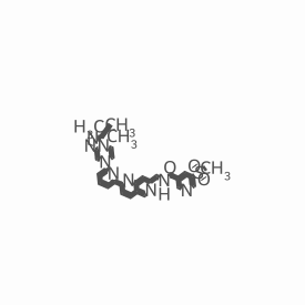 CC(C)(C)c1nnc2n1CCN(c1cccc(-c3ccc4cnc(CNC(=O)c5cncc(S(C)(=O)=O)c5)cc4n3)n1)C2